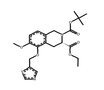 CCOC(=O)[C@@H]1Cc2c(ccc(OC)c2OCc2cncs2)CN1C(=O)OC(C)(C)C